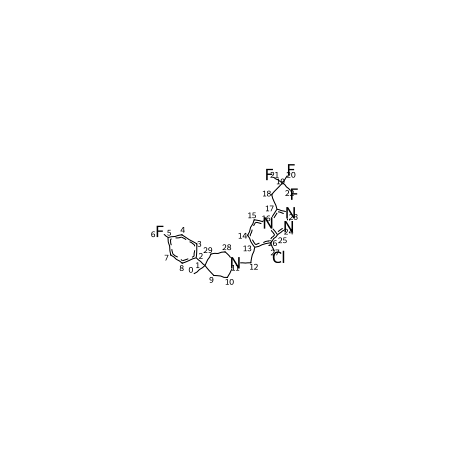 CC1(c2ccc(F)cc2)CCN(Cc2ccn3c(CC(F)(F)F)nnc3c2Cl)CC1